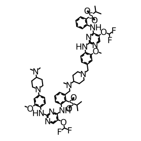 COc1cc(CN2CCC(N(C)Cc3cccc(Nc4nc(Nc5ccc(N6CCC(N(C)C)CC6)cc5OC)ncc4OC(F)F)c3S(=O)(=O)C(C)C)CC2)ccc1Nc1ncc(OC(F)F)c(Nc2ccccc2S(=O)(=O)C(C)C)n1